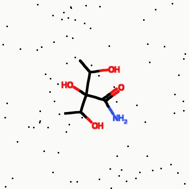 CC(O)C(O)(C(N)=O)C(C)O